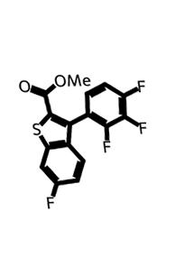 COC(=O)c1sc2cc(F)ccc2c1-c1ccc(F)c(F)c1F